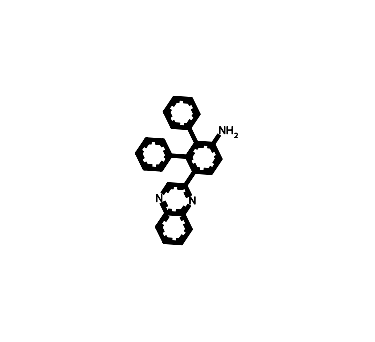 Nc1ccc(-c2cnc3ccccc3n2)c(-c2ccccc2)c1-c1ccccc1